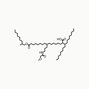 CCCCCCCCC(CCCCCCCC)C(CCCCCCN(CCCCCCCC(=O)OCC(C)CCCCCCC)CCCNC(=O)COC)C(=O)O